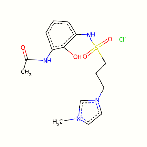 CC(=O)Nc1cccc(NS(=O)(=O)CCCn2cc[n+](C)c2)c1O.[Cl-]